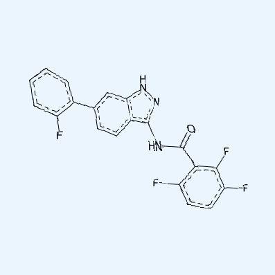 O=C(Nc1n[nH]c2cc(-c3ccccc3F)ccc12)c1c(F)ccc(F)c1F